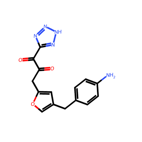 Nc1ccc(Cc2coc(CC(=O)C(=O)c3nn[nH]n3)c2)cc1